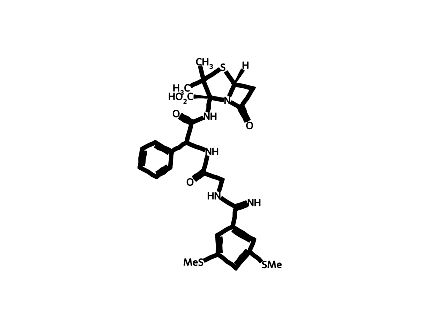 CSc1cc(SC)cc(C(=N)NCC(=O)NC(C(=O)N[C@@]2(C(=O)O)N3C(=O)C[C@H]3SC2(C)C)c2ccccc2)c1